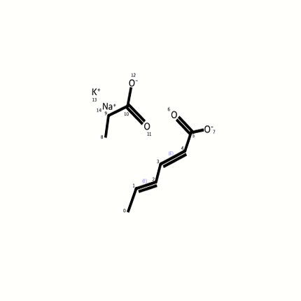 C/C=C/C=C/C(=O)[O-].CCC(=O)[O-].[K+].[Na+]